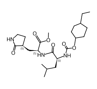 CCC1CCC(OC(=O)N[C@@H](CC(C)C)C(=O)N[C@@H](C[C@@H]2CCNC2=O)C(=O)OC)CC1